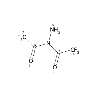 NN(C(=O)C(F)(F)F)C(=O)C(F)(F)F